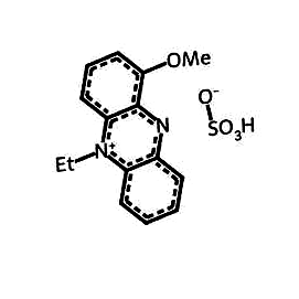 CC[n+]1c2ccccc2nc2c(OC)cccc21.O=S(=O)([O-])O